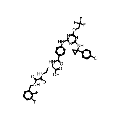 O=C(NCC[C@H](NC(=O)c1ccc(Nc2nc(NC3(c4ccc(Cl)cc4)CC3)nc(OCC(F)(F)F)n2)cc1)C(=O)O)C(=O)NCc1cccc(F)c1F